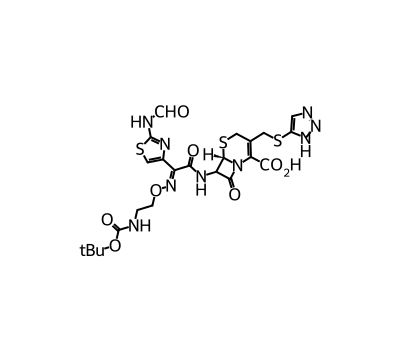 CC(C)(C)OC(=O)NCCON=C(C(=O)NC1C(=O)N2C(C(=O)O)=C(CSc3cnn[nH]3)CS[C@@H]12)c1csc(NC=O)n1